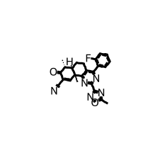 Cc1nc(-c2nc(-c3ccccc3F)c3c(n2)[C@]2(C)C=C(C#N)C(=O)[C@H](C)[C@H]2CC3)no1